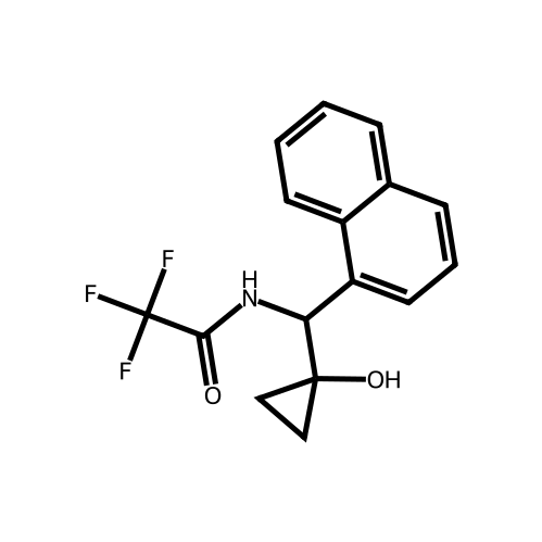 O=C(NC(c1cccc2ccccc12)C1(O)CC1)C(F)(F)F